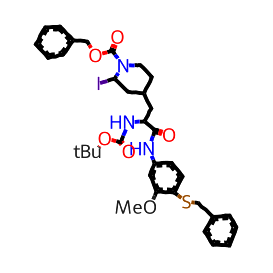 COc1cc(NC(=O)C(CC2CCN(C(=O)OCc3ccccc3)C(I)C2)NC(=O)OC(C)(C)C)ccc1SCc1ccccc1